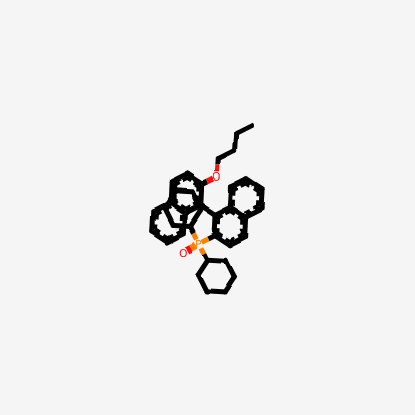 CCCCOc1ccc2ccccc2c1-c1c(P(=O)(C2CCCCC2)C2CCCCC2)ccc2ccccc12